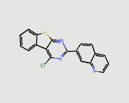 Clc1nc(-c2ccc3cccnc3c2)nc2sc3ccccc3c12